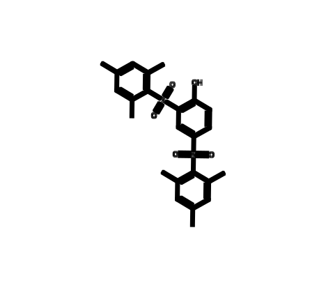 Cc1cc(C)c(S(=O)(=O)c2ccc(O)c(S(=O)(=O)c3c(C)cc(C)cc3C)c2)c(C)c1